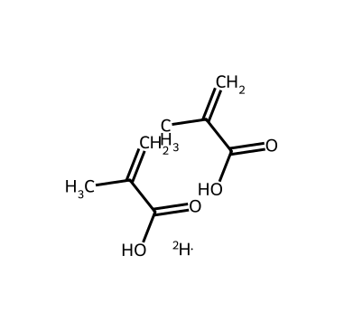 C=C(C)C(=O)O.C=C(C)C(=O)O.[2H]